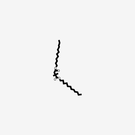 CCCCCCCCCCCCOC(=O)CC(C)(C)C(=O)OCCCCCCCCCCCC